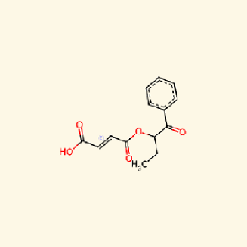 CCC(OC(=O)/C=C/C(=O)O)C(=O)c1ccccc1